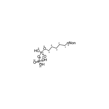 CCCCCCCCCCCCCCOP(=O)(O)OP(=O)(O)O